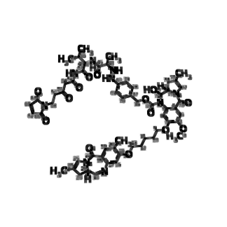 COc1cc2c(cc1OCCCCCOc1cc3c(cc1C)C(=O)N1C=C(C)C[C@H]1C=N3)N(C(=O)OCc1ccc(NNC(C)C(=O)N[C@H](C(=O)NC(=O)CC(=O)CCN3C(=O)C=CC3=O)C(C)C)cc1)[C@@H](O)[C@@H]1CC(C)=CN1C2=O